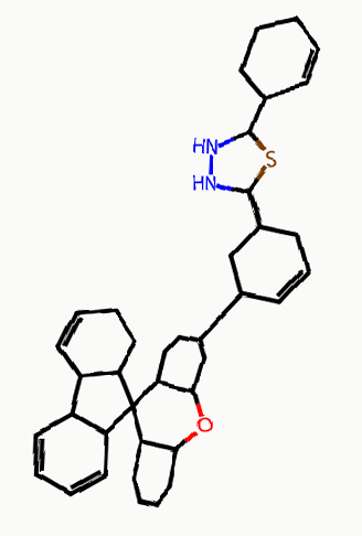 C1=CC2C3C=CCCC3C3(C2C=C1)C1CCCCC1OC1CC(C2C=CCC(C4NNC(C5C=CCCC5)S4)C2)CCC13